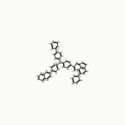 C1=Cc2cc(-c3ccc(N(c4ccc(-c5ccccc5)cc4)c4ccc(-c5ccc6ccccc6c5)cc4)cc3)cc3c(-c4ccccc4)ccc1c23